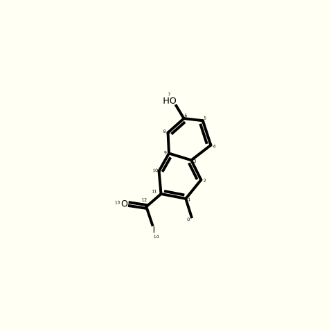 Cc1cc2ccc(O)cc2cc1C(=O)I